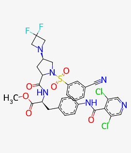 COC(=O)[C@H](Cc1ccc(NC(=O)c2c(Cl)cncc2Cl)cc1)NC(=O)C1C[C@@H](N2CC(F)(F)C2)CN1S(=O)(=O)c1cccc(C#N)c1